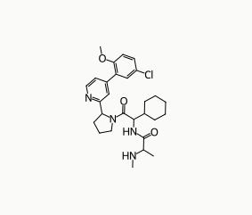 CNC(C)C(=O)NC(C(=O)N1CCCC1c1cc(-c2cc(Cl)ccc2OC)ccn1)C1CCCCC1